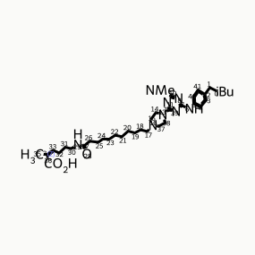 CCC(C)Cc1ccc(Nc2nc(NC)nc(N3CCN(CCCCCCCCCCC(=O)NCCC/C=C(/C)C(=O)O)CC3)n2)cc1